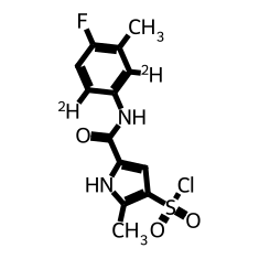 [2H]c1cc(F)c(C)c([2H])c1NC(=O)c1cc(S(=O)(=O)Cl)c(C)[nH]1